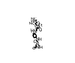 CCn1c(=C(C#N)C(=O)NCC#N)sc(=CNc2cccc(NC(=O)CN3CNC(=O)C3)c2)c1=O